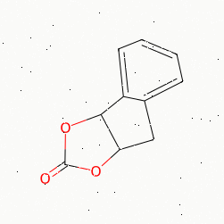 O=C1OC2Cc3ccccc3C2O1